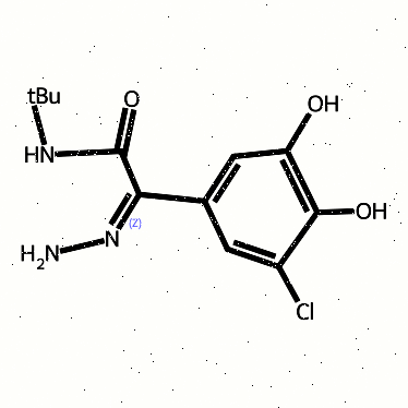 CC(C)(C)NC(=O)/C(=N\N)c1cc(O)c(O)c(Cl)c1